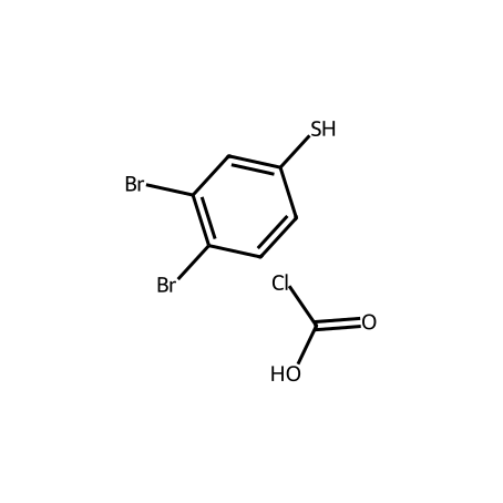 O=C(O)Cl.Sc1ccc(Br)c(Br)c1